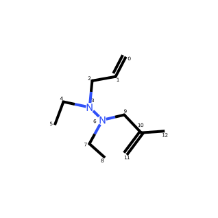 C=CCN(CC)N(CC)CC(=C)C